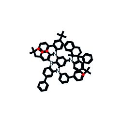 CC1(C)Cc2cc3c(cc2C1)N(c1ccc(C(C)(C)C)cc1-c1ccccc1)c1cc(N2c4ccc(C(C)(C)C)cc4C4(c5ccccc5)CCc5ccccc5C24C)cc2c1B3c1ccc(-c3ccccc3)cc1N2c1cccc(-c2ccccc2)c1